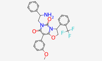 COc1cccc(-c2c3n(c(=O)n(CC(N)c4ccccc4)c2=O)C(c2ccccc2C(F)(F)F)CO3)c1